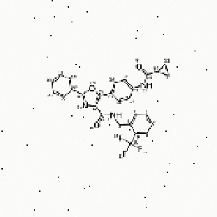 O=C(NCc1ccccc1C(F)(F)F)c1nc(-c2ccccc2)oc1-c1ccc(NC(=O)C2CC2)cc1